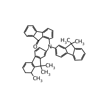 CC1CC=CC2=C1C(C)(C)c1cc(N(c3ccc4c(c3)C(C)(C)c3ccccc3-4)c3cccc4c3C(=O)c3ccccc3-4)ccc12